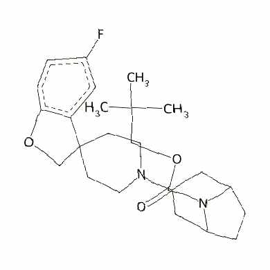 CC(C)(C)COC(=O)N1C2CCC1CC(N1CCC3(CC1)COc1ccc(F)cc13)C2